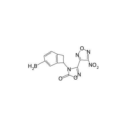 Bc1ccc2c(c1)C(n1c(-c3nonc3[N+](=O)[O-])noc1=O)C2